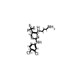 NCCCNc1nc(Nc2ccc(Cl)c(Cl)c2)ncc1C(F)(F)F